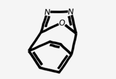 c1cc2ccc1-c1nnc-2o1